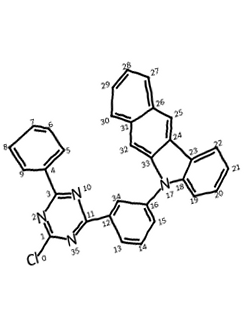 Clc1nc(-c2ccccc2)nc(-c2cccc(-n3c4ccccc4c4cc5ccccc5cc43)c2)n1